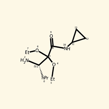 CCC[C@H](N)C(OCC)(OCC)C(=O)NC1CC1